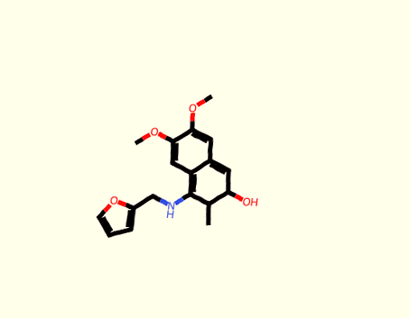 COc1cc2c(cc1OC)=C(NCc1ccco1)C(C)C(O)C=2